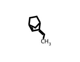 CC=C1C=C2CCC1C2